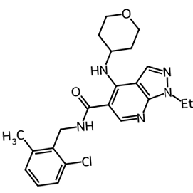 CCn1ncc2c(NC3CCOCC3)c(C(=O)NCc3c(C)cccc3Cl)cnc21